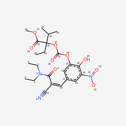 CCN(CC)C(=O)C(C#N)=Cc1cc(OC(=O)OC(CC)(C(=O)OC)C(C)C)c(O)c([N+](=O)[O-])c1